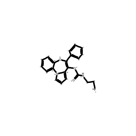 O=C(NCC[18F])OC1=C(c2ccccc2)Oc2ccccc2-n2cccc21